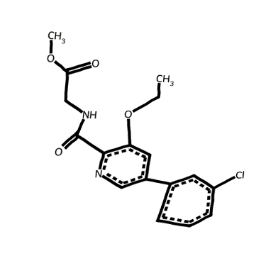 CCOc1cc(-c2cccc(Cl)c2)cnc1C(=O)NCC(=O)OC